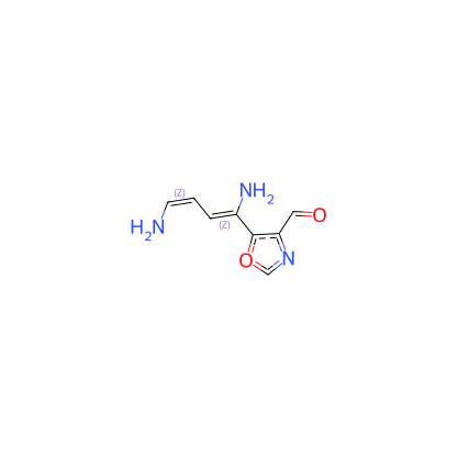 N/C=C\C=C(/N)c1ocnc1C=O